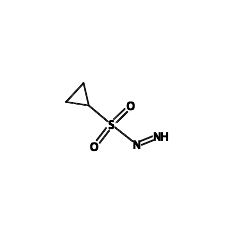 N=NS(=O)(=O)C1CC1